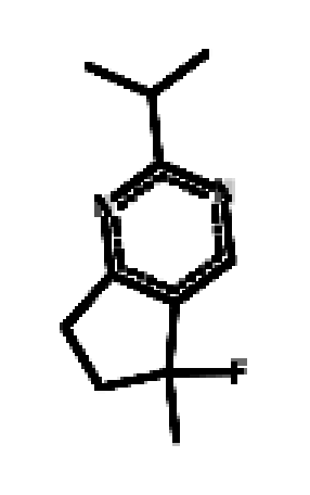 CC(C)c1ncc2c(n1)CCC2(C)F